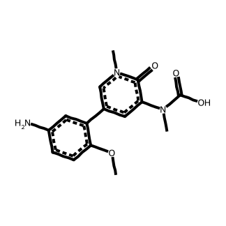 COc1ccc(N)cc1-c1cc(N(C)C(=O)O)c(=O)n(C)c1